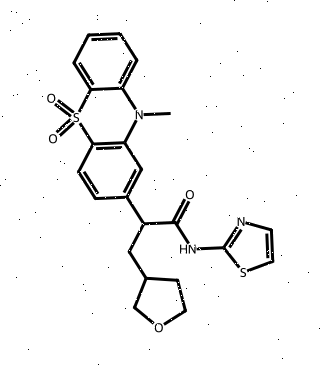 CN1c2ccccc2S(=O)(=O)c2ccc(C(CC3CCOC3)C(=O)Nc3nccs3)cc21